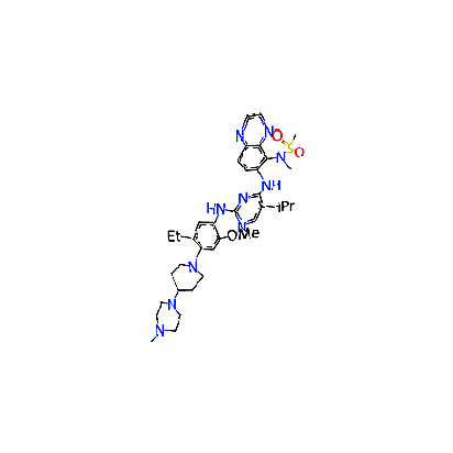 CCc1cc(Nc2ncc(C(C)C)c(Nc3ccc4nccnc4c3N(C)S(C)(=O)=O)n2)c(OC)cc1N1CCC(N2CCN(C)CC2)CC1